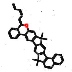 C=C/C=C\C=C1/Oc2cc3c(cc2-c2ccccc21)-c1cc2c(cc1C3(C)C)-c1c(ccc3ccccc13)C2(C)C